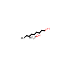 CCC(C)CCCCCCCCO.O=S(=O)(O)O